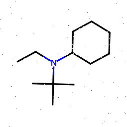 CCN(C1CCCCC1)C(C)(C)C